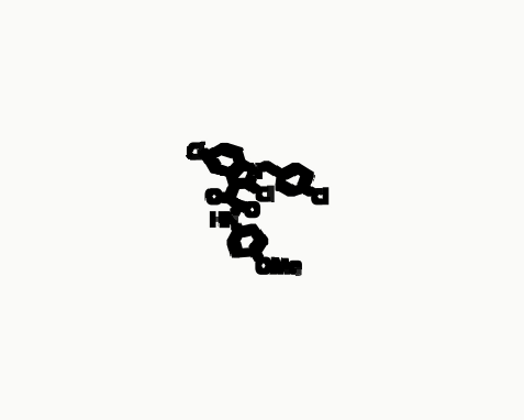 COc1ccc(NC(=O)C(=O)c2c(Cl)n(Cc3ccc(Cl)cc3)c3ccc(Cl)cc23)cc1